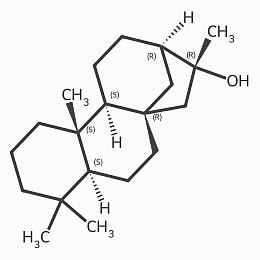 CC1(C)CCC[C@@]2(C)[C@H]1CC[C@]13C[C@@H](CC[C@@H]12)[C@](C)(O)C3